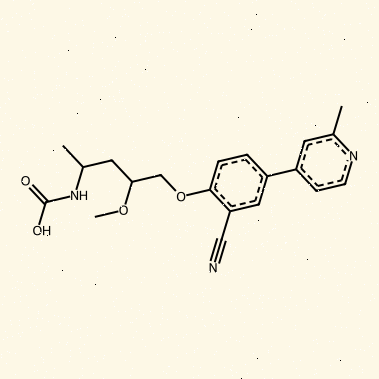 COC(COc1ccc(-c2ccnc(C)c2)cc1C#N)CC(C)NC(=O)O